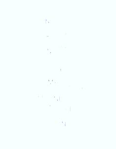 COC(=O)/C(NC(=O)c1cccnc1Cl)=C(/c1ccccc1)c1ccc(NC(=O)c2c(Cl)cncc2Cl)cc1